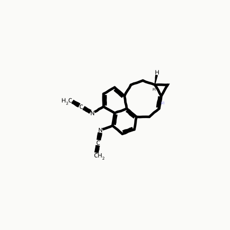 C=C=Nc1ccc2c3c(ccc(N=C=C)c13)CC[C@@H]1C/C1=C/C2